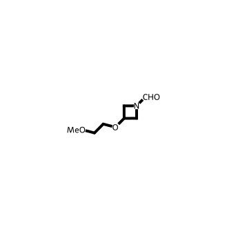 COCCOC1CN(C=O)C1